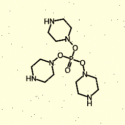 O=P(ON1CCNCC1)(ON1CCNCC1)ON1CCNCC1